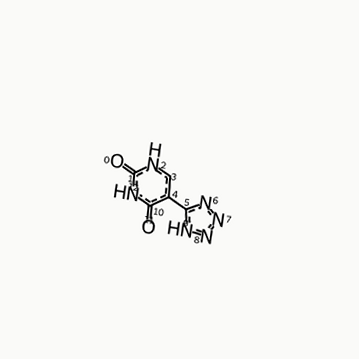 O=c1[nH]cc(-c2nnn[nH]2)c(=O)[nH]1